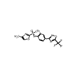 Cc1csc(S(C)(=O)=Nc2ccc(-c3noc(C(F)(F)F)n3)cc2)n1